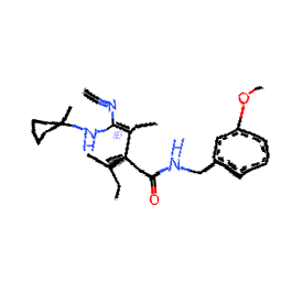 C=N/C(NC1(C)CC1)=C(\C)C(C(=O)NCc1cccc(OC)c1)=C(C)C